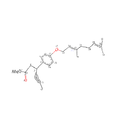 CC#CC(CC(=O)OC)c1ccc(OC/C=C(\C)CCC=C(C)C)cc1